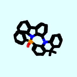 CC1(C)c2ccccc2N2c3c1cccc3P(=O)(c1ccccc1)n1c3ccccc3c3cccc2c31